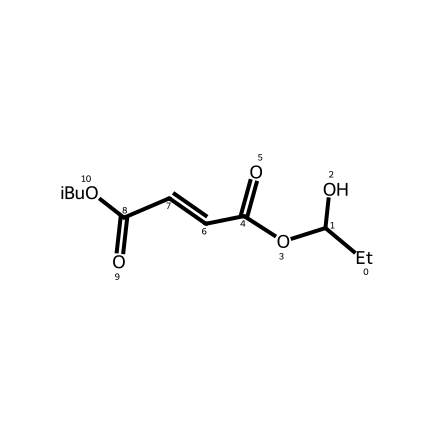 CCC(O)OC(=O)C=CC(=O)OCC(C)C